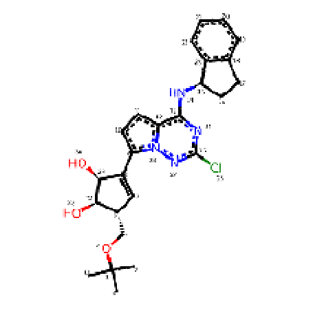 CC(C)(C)OC[C@H]1C=C(c2ccc3c(N[C@@H]4CCc5ccccc54)nc(Cl)nn23)[C@H](O)[C@@H]1O